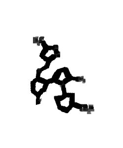 Cc1cc(COc2ccc(Br)cc2-c2ccc(C)n2-c2cccc(C(=O)O)c2)no1